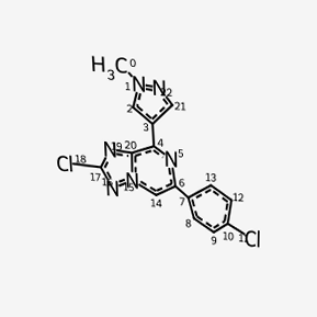 Cn1cc(-c2nc(-c3ccc(Cl)cc3)cn3nc(Cl)nc23)cn1